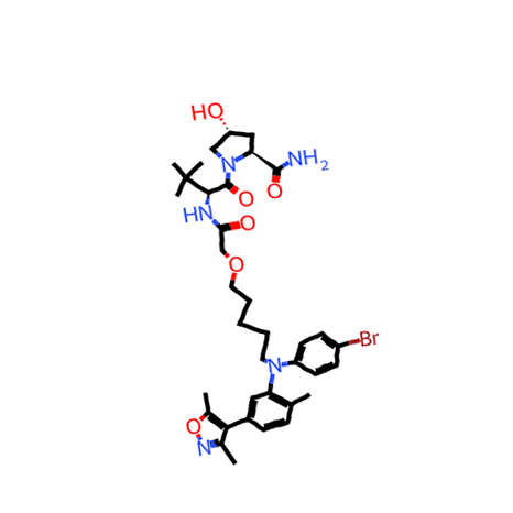 Cc1ccc(-c2c(C)noc2C)cc1N(CCCCCOCC(=O)N[C@H](C(=O)N1C[C@H](O)C[C@H]1C(N)=O)C(C)(C)C)c1ccc(Br)cc1